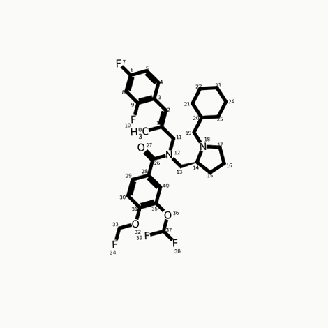 C/C(=C\c1ccc(F)cc1F)CN(C[C@@H]1CCCN1CC1CCCCC1)C(=O)c1ccc(OCF)c(OC(F)F)c1